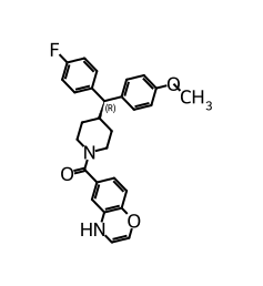 COc1ccc([C@H](c2ccc(F)cc2)C2CCN(C(=O)c3ccc4c(c3)NC=CO4)CC2)cc1